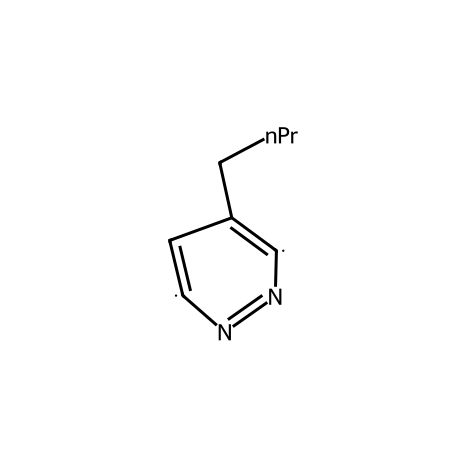 CCCCc1[c]nn[c]c1